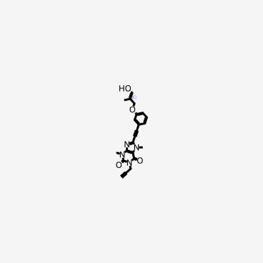 C#CCn1c(=O)c2c(nc(C#Cc3cccc(OC/C(C)=C/O)c3)n2C)n(C)c1=O